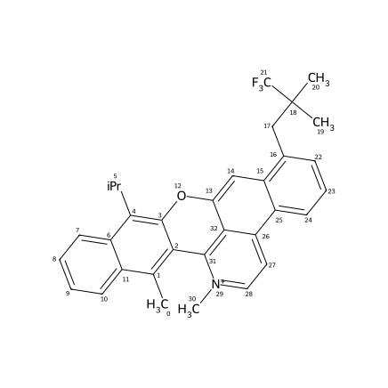 Cc1c2c(c(C(C)C)c3ccccc13)Oc1cc3c(CC(C)(C)C(F)(F)F)cccc3c3cc[n+](C)c-2c13